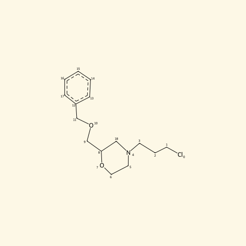 ClCCCN1CCOC(COCc2ccccc2)C1